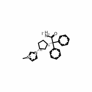 C[n+]1ccn([C@@H]2CC[C@H](C(C(N)=O)(c3ccccc3)c3ccccc3)C2)c1.[I-]